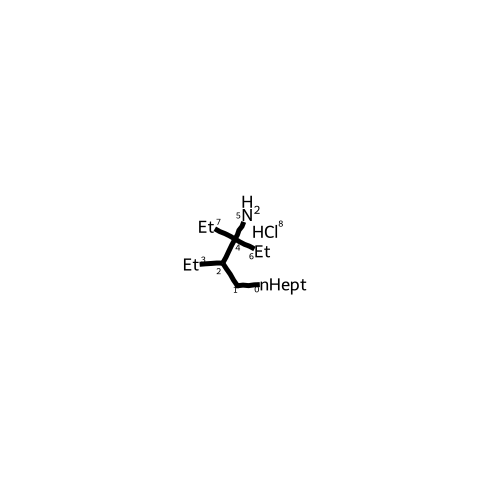 CCCCCCCCC(CC)C(N)(CC)CC.Cl